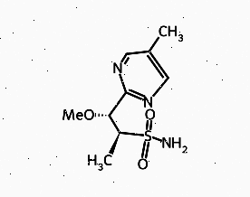 CO[C@H](c1ncc(C)cn1)[C@H](C)S(N)(=O)=O